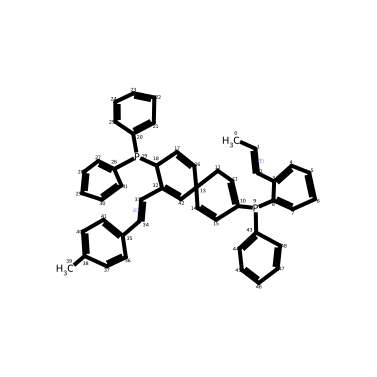 C/C=C/c1ccccc1P(C1=CCC2(C=C1)C=CC(P(c1ccccc1)c1ccccc1)C(/C=C/c1ccc(C)cc1)=C2)c1ccccc1